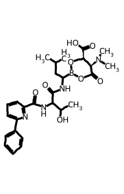 CC(C)CC(NC(=O)C(NC(=O)c1cccc(-c2ccccc2)n1)C(C)O)B1OC(=O)[C@H](N(C)C)[C@H](C(=O)O)O1